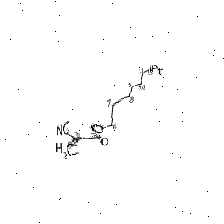 C=C(C#N)C(=O)OCCCCCCC(C)C